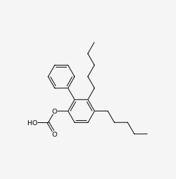 CCCCCc1ccc(OC(=O)O)c(-c2ccccc2)c1CCCCC